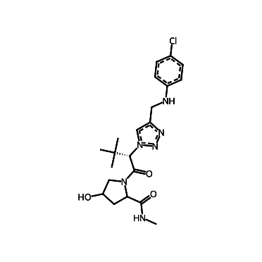 CNC(=O)C1CC(O)CN1C(=O)[C@@H](n1cc(CNc2ccc(Cl)cc2)nn1)C(C)(C)C